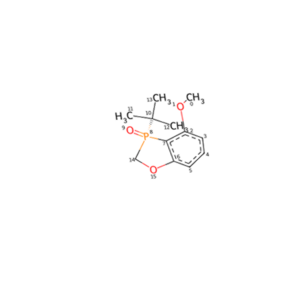 COc1cccc2c1[P@@](=O)(C(C)(C)C)CO2